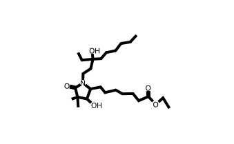 CCCCCCC(O)(CC)CCN1C(=O)C(C)(C)C(O)C1CCCCCCC(=O)OCC